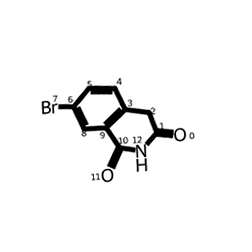 O=C1Cc2ccc(Br)cc2C(=O)N1